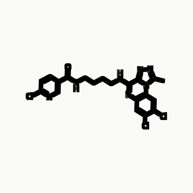 Cc1nnc2c(NCCCCNC(=O)c3ccc(Cl)nc3)nc3cc(Cl)c(Cl)cc3n12